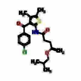 C=C(CCC(=O)Nc1sc(C)c(C)c1C(=O)c1ccc(Cl)cc1)OCC(C)C